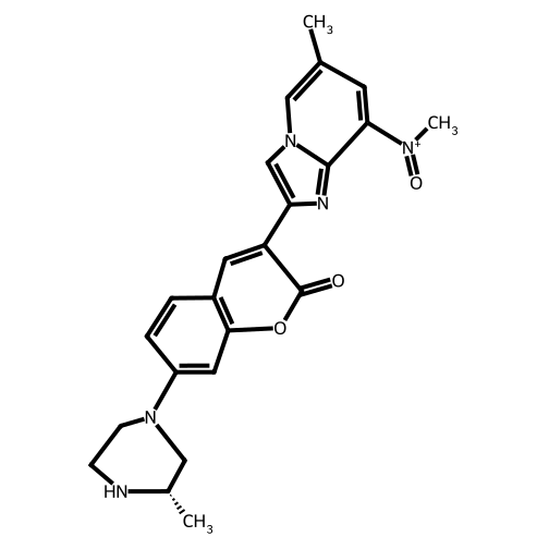 Cc1cc([N+](C)=O)c2nc(-c3cc4ccc(N5CCN[C@@H](C)C5)cc4oc3=O)cn2c1